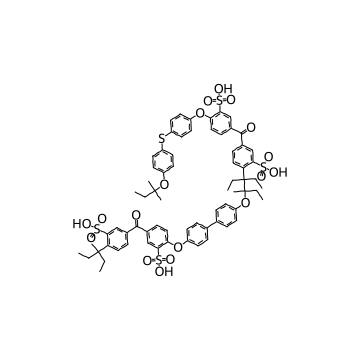 CCC(C)(C)Oc1ccc(Sc2ccc(Oc3ccc(C(=O)c4ccc(C(CC)(CC)C(C)(CC)Oc5ccc(-c6ccc(Oc7ccc(C(=O)c8ccc(C(C)(CC)CC)c(S(=O)(=O)O)c8)cc7S(=O)(=O)O)cc6)cc5)c(S(=O)(=O)O)c4)cc3S(=O)(=O)O)cc2)cc1